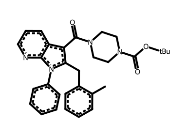 Cc1ccccc1Cc1c(C(=O)N2CCN(C(=O)OC(C)(C)C)CC2)c2cccnc2n1-c1ccccc1